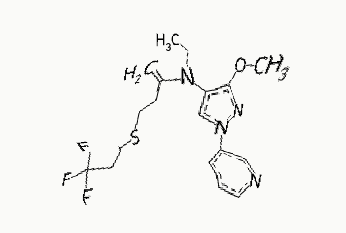 C=C(CCSCCC(F)(F)F)N(CC)c1cn(-c2cccnc2)nc1OC